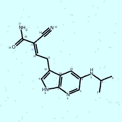 CC(C)Nc1cnc2[nH]cc(C/C=C(\C#N)C(N)=O)c2c1